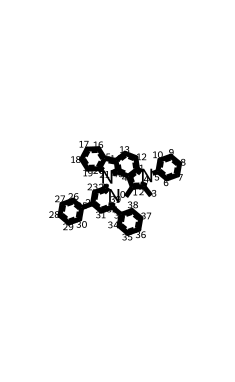 Cc1c(C)n(-c2ccccc2)c2ccc3c4ccccc4n(-c4cc(-c5ccccc5)cc(-c5ccccc5)n4)c3c12